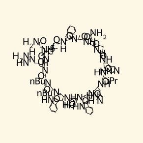 CCCC[C@H]1C(=O)N(C)[C@@H](CCCC)C(=O)N[C@@H](CCCNC(=N)N)C(=O)N[C@H](C(=O)NCC(N)=O)CSCC(=O)N[C@@H](Cc2ccccc2)C(=O)N(C)C(C)C(=O)N[C@@H](CC(N)=O)C(=O)N2CCC[C@H]2C(=O)N[C@@H](Cc2cnc[nH]2)C(=O)N[C@@H](CC(C)C)C(=O)N[C@@H](Cc2cnc[nH]2)C(=O)N[C@@H](Cc2c[nH]c3ccccc23)C(=O)N[C@@H](CO)C(=O)N[C@@H](Cc2c[nH]c3ccccc23)C(=O)N1C